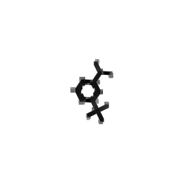 CC(C)c1[c]c(C(C)(C)C)ccc1